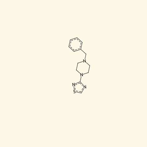 c1ccc(CN2CCN(c3ncsn3)CC2)cc1